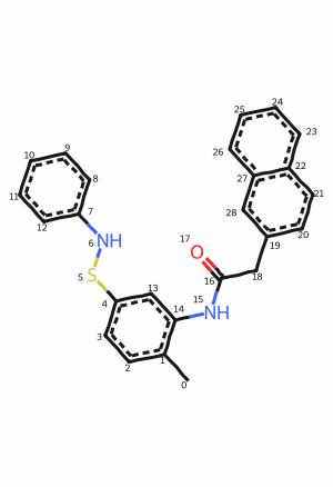 Cc1ccc(SNc2ccccc2)cc1NC(=O)Cc1ccc2ccccc2c1